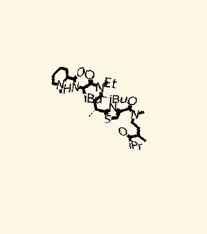 CCC(C)C(NC(=O)C1CCCCN1C)C(=O)N(CC)C(C[C@@H](C)c1nc(C(=O)N(C)CCC(C)C(=O)C(C)C)cs1)[C@@H](C)CC